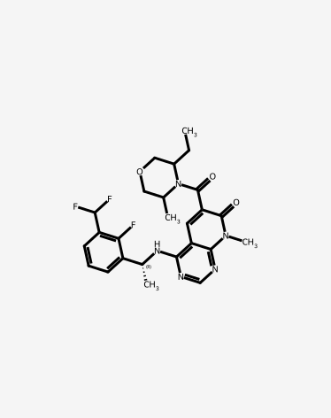 CCC1COCC(C)N1C(=O)c1cc2c(N[C@H](C)c3cccc(C(F)F)c3F)ncnc2n(C)c1=O